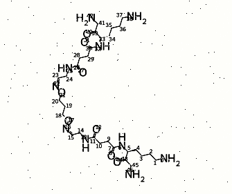 NCCCC[C@H](NC(=O)CCC(=O)NC/C=N\OCCCO/N=C\CNC(=O)CCC(=O)N[C@@H](CCCCN)C(=O)CN)C(=O)CN